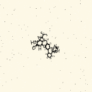 CC(C)c1nc2[nH]c(=O)[nH]c(=O)c2n1Cc1ccc(-c2ccccc2-c2nnn[nH]2)cc1